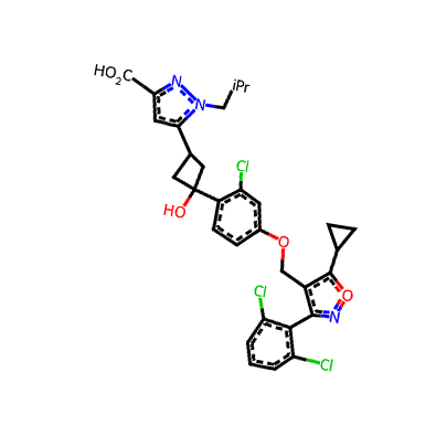 CC(C)Cn1nc(C(=O)O)cc1C1CC(O)(c2ccc(OCc3c(-c4c(Cl)cccc4Cl)noc3C3CC3)cc2Cl)C1